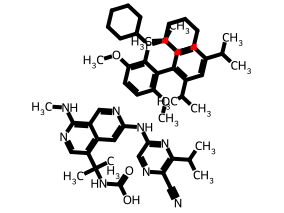 CNc1ncc(C(C)(C)NC(=O)O)c2cc(Nc3cnc(C#N)c(C(C)C)n3)ncc12.COc1ccc(OC)c(P(C2CCCCC2)C2CCCCC2)c1-c1c(C(C)C)cc(C(C)C)cc1C(C)C